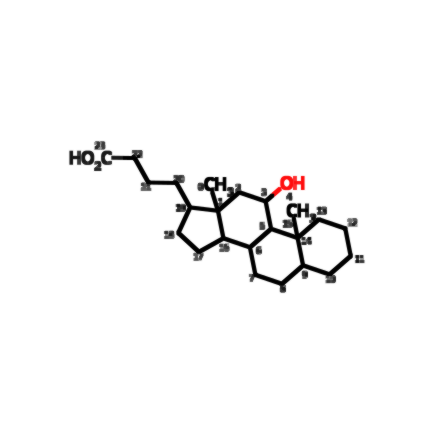 CC12CC(O)C3C(CCC4CCCCC43C)C1CCC2CCCC(=O)O